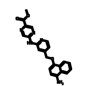 COC(=O)c1cnc(Nc2cc(COc3ccc(N)c4ccccc34)ccn2)cn1